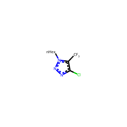 CCCCCCn1nnc(Cl)c1C(F)(F)F